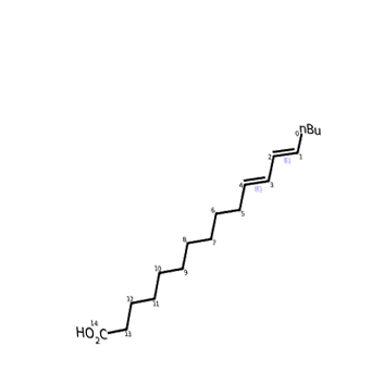 CCCC/C=C/C=C/CCCCCCCCCC(=O)O